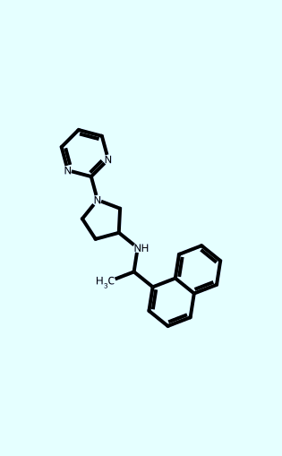 CC(NC1CCN(c2ncccn2)C1)c1cccc2ccccc12